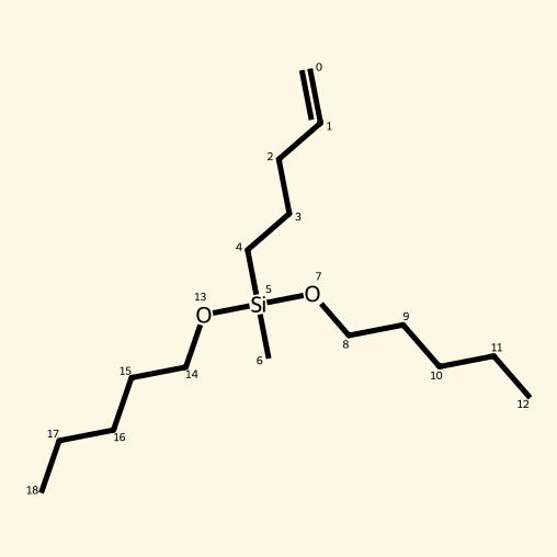 C=CCCC[Si](C)(OCCCCC)OCCCCC